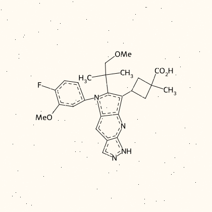 COCC(C)(C)c1c(C2CC(C)(C(=O)O)C2)c2nc3[nH]ncc3cc2n1-c1ccc(F)c(OC)c1